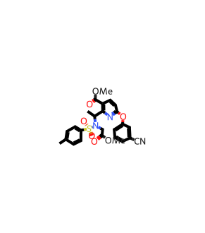 COC(=O)CN(C(C)c1nc(Oc2cccc(C#N)c2)ccc1C(=O)OC)S(=O)(=O)c1ccc(C)cc1